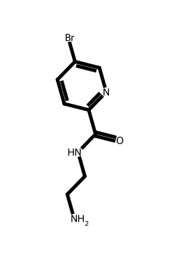 NCCNC(=O)c1ccc(Br)cn1